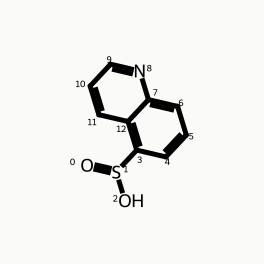 O=S(O)c1cccc2ncccc12